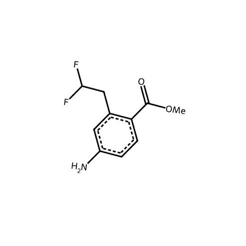 COC(=O)c1ccc(N)cc1CC(F)F